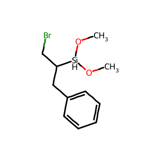 CO[SiH](OC)C(CBr)Cc1ccccc1